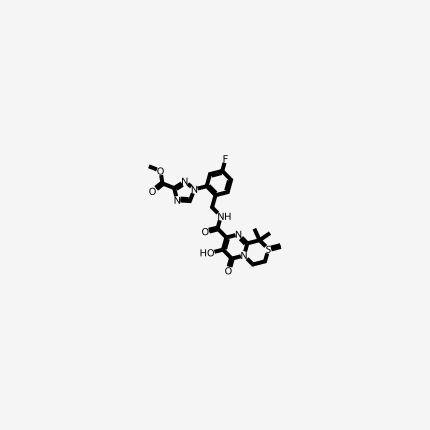 C=S1CCn2c(nc(C(=O)NCc3ccc(F)cc3-n3cnc(C(=O)OC)n3)c(O)c2=O)C1(C)C